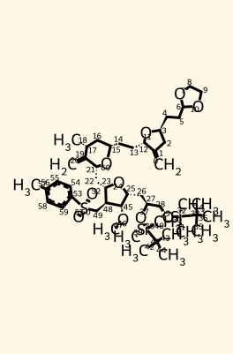 C=C1C[C@H](CCC2OCCO2)O[C@H]1CC[C@H]1C[C@@H](C)C(=C)[C@@H](C[C@@H]2O[C@H](C[C@@H](CO[Si](C)(C)C(C)(C)C)O[Si](C)(C)C(C)(C)C)[C@H](OC)[C@H]2CS(=O)(=O)c2ccc(C)cc2)O1